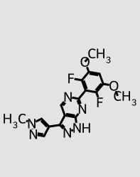 COc1cc(OC)c(F)c(-c2ncc3c(-c4cnn(C)c4)n[nH]c3n2)c1F